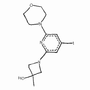 CC1(O)CN(c2cc(I)cc(N3CCOCC3)n2)C1